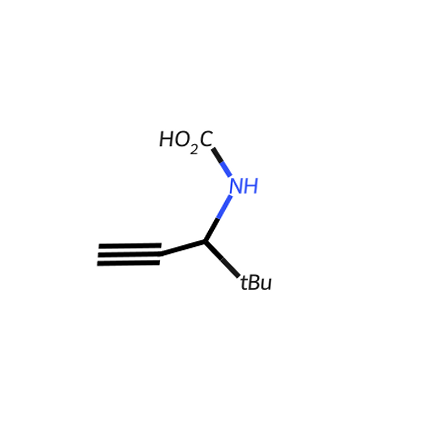 C#CC(NC(=O)O)C(C)(C)C